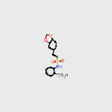 O=C(O)c1ccccc1NS(=O)(=O)/C=C/c1ccc2c(c1)OCO2